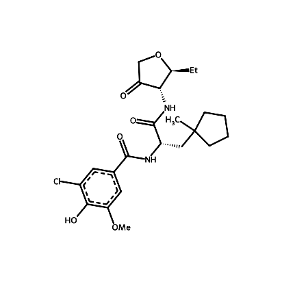 CC[C@@H]1OCC(=O)[C@H]1NC(=O)[C@H](CC1(C)CCCC1)NC(=O)c1cc(Cl)c(O)c(OC)c1